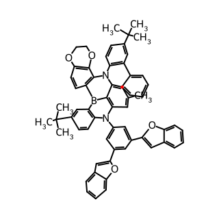 Cc1cc2c3c(c1)N(c1ccc(C(C)(C)C)cc1-c1ccccc1)c1c(ccc4c1OCCO4)B3c1cc(C(C)(C)C)ccc1N2c1cc(-c2cc3ccccc3o2)cc(-c2cc3ccccc3o2)c1